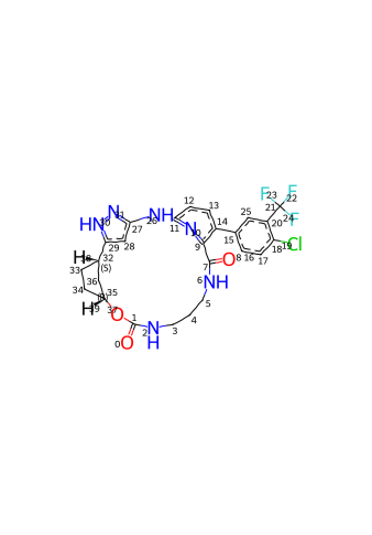 O=C1NCCCNC(=O)c2nc(ccc2-c2ccc(Cl)c(C(F)(F)F)c2)Nc2cc([nH]n2)[C@H]2CC[C@H](C2)O1